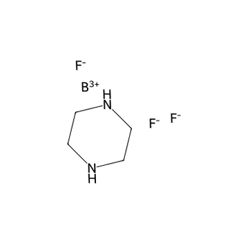 C1CNCCN1.[B+3].[F-].[F-].[F-]